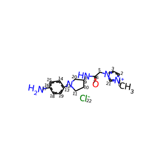 C[n+]1ccn(CC(=O)NC2CCN(c3ccc(N)cc3)C2)c1.[Cl-]